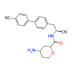 N#Cc1ccc(-c2ccc(C[C@@H](C#N)NC(=O)C3CC(N)CCO3)cc2)cc1